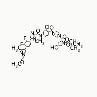 COCCn1cc(-c2ccc(-c3cnc(C(=O)Nc4ccc(C(=O)N5CCN(C(=O)[C@H]6CC(O)CN6C(=O)OC(C)(C)C)CC5)c(Cl)c4)n3C)c(F)c2F)c(C)n1